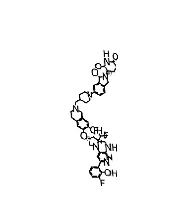 Cc1cc2c(cc1O[C@H]1CN3c4cc(-c5cccc(F)c5O)nnc4NC[C@@]3(C(F)F)C1)CCN(CC1CCN(c3ccc4c(c3)C(=O)N([C@H]3CCC(=O)NC3=O)C4)CC1)C2